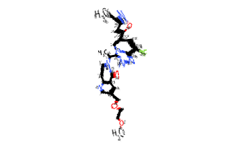 COCCOCc1cnc2ccn(C(C)c3nnc4c(F)cc(-c5cc(C)no5)cn34)c(=O)c2c1